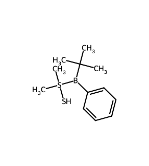 CC(C)(C)B(c1ccccc1)S(C)(C)S